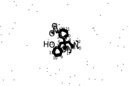 CN(C)CCC(Cc1ccccc1O)(C(=O)N(C)C)c1cccc([N+](=O)[O-])c1